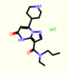 CCCN(CC)C(=O)c1cnn2c(C3CCNCC3)cc(=O)[nH]c12.Cl